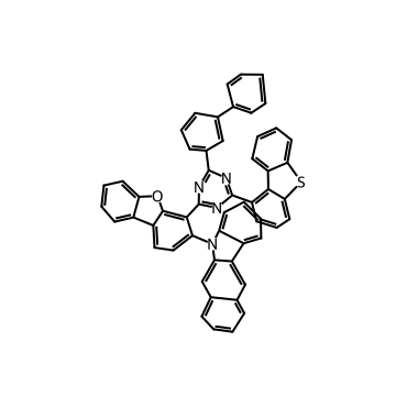 c1ccc(-c2cccc(-c3nc(-c4c(-n5c6ccccc6c6cc7ccccc7cc65)ccc5c4oc4ccccc45)nc(-c4cccc5sc6ccccc6c45)n3)c2)cc1